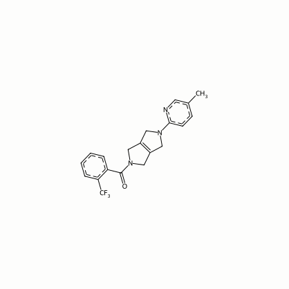 Cc1ccc(N2CC3=C(CN(C(=O)c4ccccc4C(F)(F)F)C3)C2)nc1